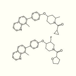 Cc1c(-c2ccc(OC3CCN(C(=O)C4CC4)C(C)C3)cc2)ccc2cccnc12.Cc1c(-c2ccc(OC3CCN(C(=O)C4CCCO4)CC3F)cc2)ccc2cccnc12